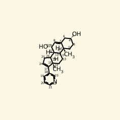 C[C@]12CC[C@@H](O)CC1=C[C@@H](O)[C@@H]1[C@@H]2CC[C@]2(C)C(c3cccnc3)=CC[C@@H]12